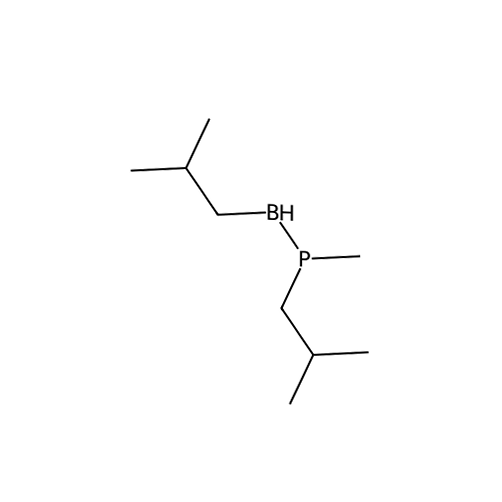 CC(C)CBP(C)CC(C)C